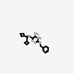 C[C@H](NC(=O)OCc1ccccc1)C(=O)NC(C1CCC1)C1CCC1